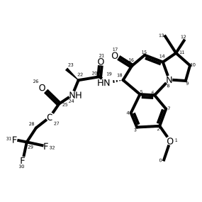 COc1ccc2c(c1)N1CCC(C)(C)C1=CC(=O)[C@H]2NC(=O)[C@H](C)NC(=O)CCC(F)(F)F